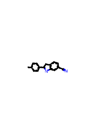 Cc1ccc(C2=Nc3cc(C#N)ccc3C2)cc1